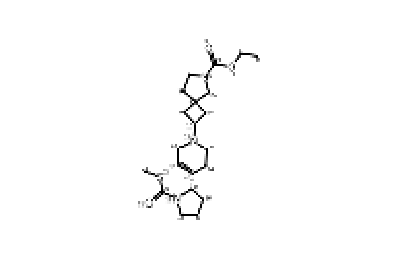 CCOC(=O)N1CCC2(CC(N3CC=C([C@@H]4CCCN4C(=O)SC)CC3)C2)C1